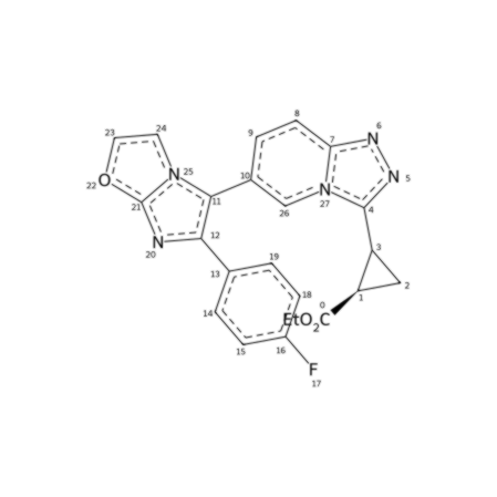 CCOC(=O)[C@@H]1CC1c1nnc2ccc(-c3c(-c4ccc(F)cc4)nc4occn34)cn12